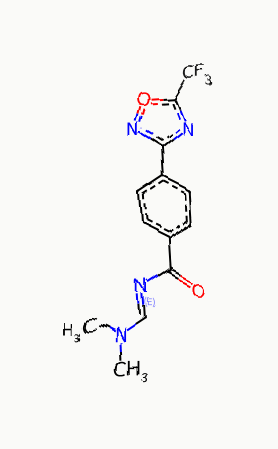 CN(C)/C=N/C(=O)c1ccc(-c2noc(C(F)(F)F)n2)cc1